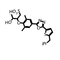 [CH2]C(O)C(CS(=O)(=O)O)Oc1c(C)cc(-c2nnc(-c3ccc(CC(C)C)s3)o2)cc1C